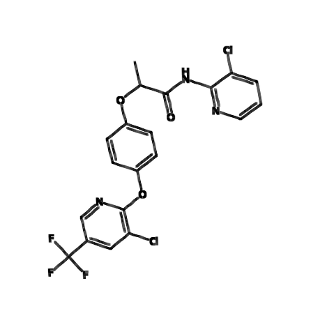 CC(Oc1ccc(Oc2ncc(C(F)(F)F)cc2Cl)cc1)C(=O)Nc1ncccc1Cl